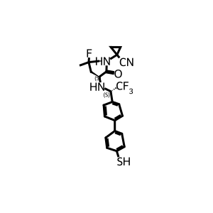 CC(C)(F)C[C@H](N[C@@H](c1ccc(-c2ccc(S)cc2)cc1)C(F)(F)F)C(=O)NC1(C#N)CC1